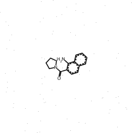 Nc1c(C(=O)N2CCCC2)ccc2ccccc12